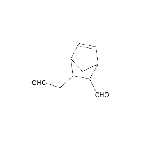 O=CCC1C2C=CC(C2)C1C=O